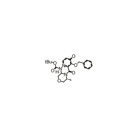 C[C@H]1COC[C@@H]2N1C(=O)c1c(OCc3ccccc3)c(=O)ccn1N2C(=O)OC(C)(C)C